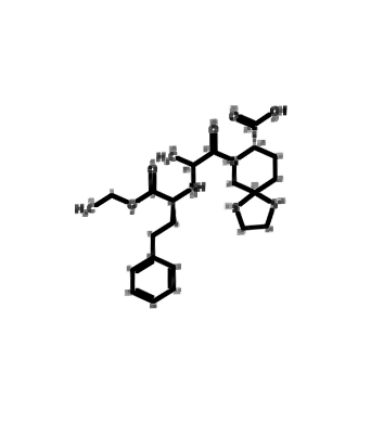 CCOC(=O)[C@H](CCc1ccccc1)NC(C)C(=O)N1CC2(CC[C@H]1C(=O)O)SCCS2